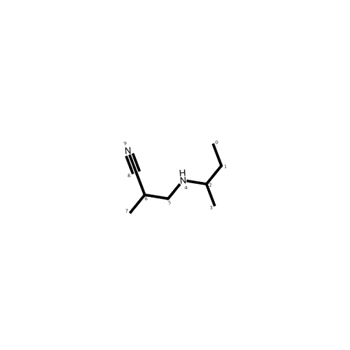 CCC(C)NCC(C)C#N